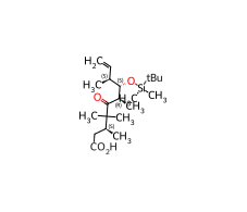 C=C[C@H](C)[C@H](O[Si](C)(C)C(C)(C)C)[C@@H](C)C(=O)C(C)(C)[C@@H](C)CC(=O)O